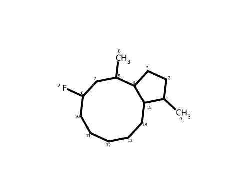 CC1CCC2C(C)CC(F)CCCCCC12